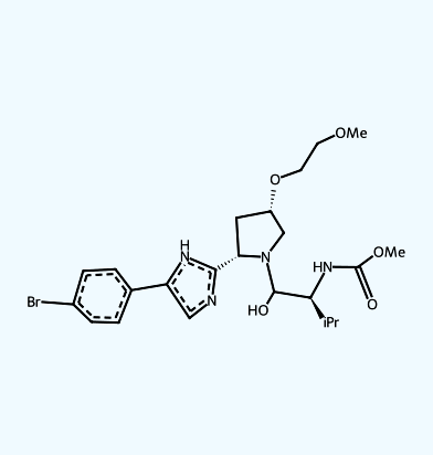 COCCO[C@H]1C[C@@H](c2ncc(-c3ccc(Br)cc3)[nH]2)N(C(O)[C@@H](NC(=O)OC)C(C)C)C1